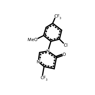 COc1cc(C(F)(F)F)cc(Cl)c1-n1cnc(C(F)(F)F)cc1=O